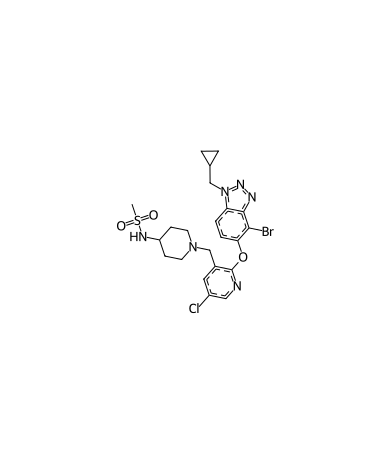 CS(=O)(=O)NC1CCN(Cc2cc(Cl)cnc2Oc2ccc3c(nnn3CC3CC3)c2Br)CC1